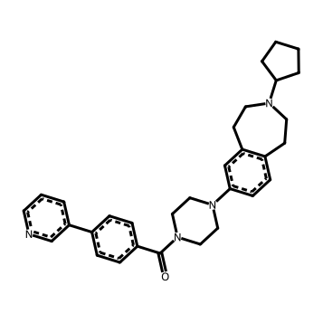 O=C(c1ccc(-c2cccnc2)cc1)N1CCN(c2ccc3c(c2)CCN(C2CCCC2)CC3)CC1